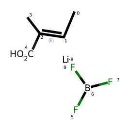 C/C=C(\C)C(=O)O.FB(F)F.[Li]